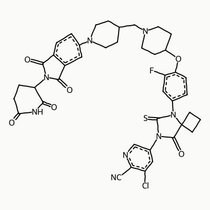 N#Cc1ncc(N2C(=O)C3(CCC3)N(c3ccc(OC4CCN(CC5CCN(c6ccc7c(c6)C(=O)N(C6CCC(=O)NC6=O)C7=O)CC5)CC4)c(F)c3)C2=S)cc1Cl